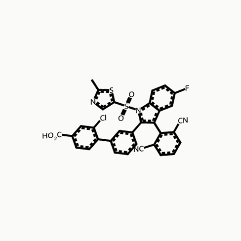 Cc1ncc(S(=O)(=O)n2c(-c3cccc(-c4ccc(C(=O)O)cc4Cl)c3)c(-c3c(C#N)cccc3C#N)c3cc(F)ccc32)s1